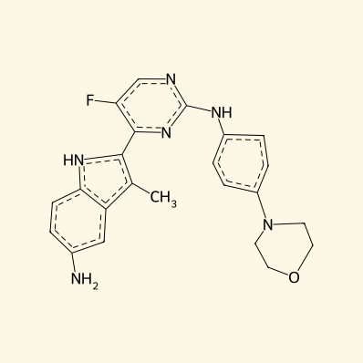 Cc1c(-c2nc(Nc3ccc(N4CCOCC4)cc3)ncc2F)[nH]c2ccc(N)cc12